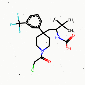 CC(C)(C)C(CC1(c2cccc(C(F)(F)F)c2)CCN(C(=O)CCl)CC1)NC(=O)O